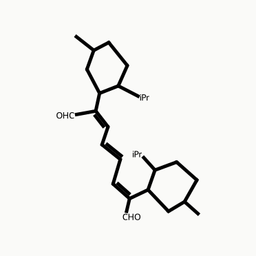 CC1CCC(C(C)C)C(C(C=O)=CC=CC=C(C=O)C2CC(C)CCC2C(C)C)C1